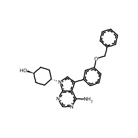 Nc1ncnc2c1c(-c1cccc(OCc3ccccc3)c1)cn2[C@H]1CC[C@H](O)CC1